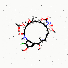 COc1cc2cc(c1Cl)N(C)C(=O)C[C@H](OC(C)=O)[C@]1(C)O[C@H]1[C@H](C)[C@@H]1C[C@@](O)(NC(=O)O1)[C@H](OC)/C=C/C=C(\C)C2OC